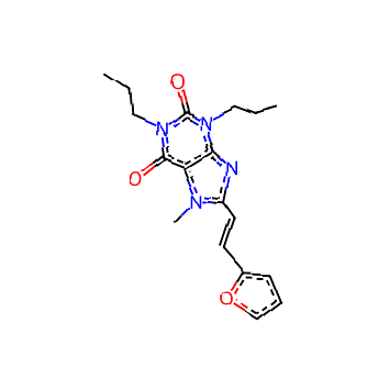 CCCn1c(=O)c2c(nc(/C=C/c3ccco3)n2C)n(CCC)c1=O